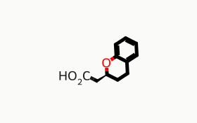 O=C(O)C[C@@H]1CCc2ccccc2O1